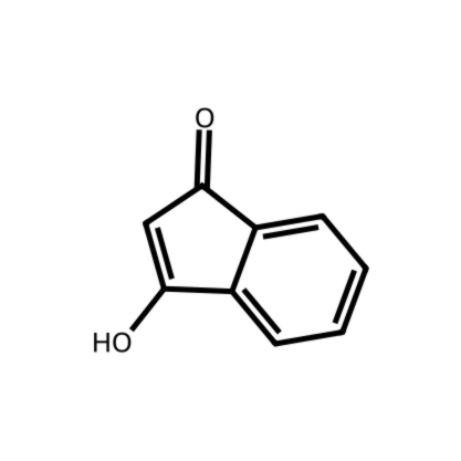 O=C1C=C(O)c2ccccc21